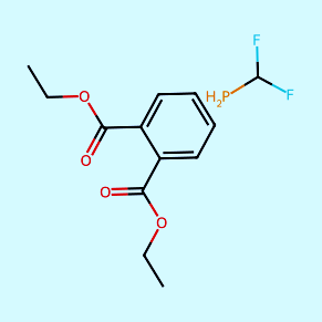 CCOC(=O)c1ccccc1C(=O)OCC.FC(F)P